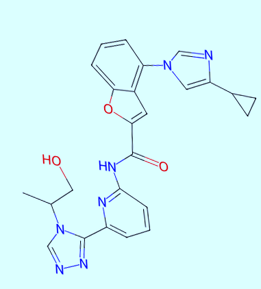 CC(CO)n1cnnc1-c1cccc(NC(=O)c2cc3c(-n4cnc(C5CC5)c4)cccc3o2)n1